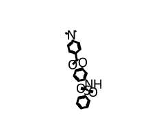 CN(C)c1ccc(C2Oc3ccc(NS(=O)(=O)c4ccccc4)cc3O2)cc1